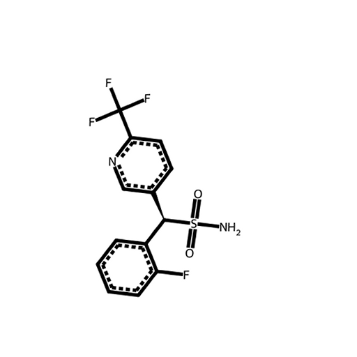 NS(=O)(=O)[C@H](c1ccc(C(F)(F)F)nc1)c1ccccc1F